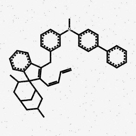 C=C/C=C\C1=C(Cc2cccc(N(C)c3ccc(-c4ccccc4)cc3)c2)c2ccccc2C12C(C)CC1CC(C)CC2C1